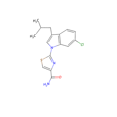 CC(C)Cc1cn(-c2nc(C(N)=O)cs2)c2cc(Cl)ccc12